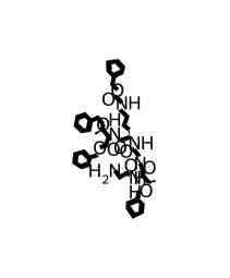 C[C@@H](OCc1ccccc1)[C@H](NC(=O)CN)C(=O)NCC(=O)N[C@@H](CCCCNC(=O)OCc1ccccc1)C(=O)N[C@H](C(=O)OCc1ccccc1)[C@@H](C)OCc1ccccc1